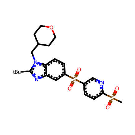 CC(C)(C)c1nc2cc(S(=O)(=O)c3ccc(S(C)(=O)=O)nc3)ccc2n1CC1CCOCC1